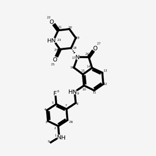 CNc1ccc(F)c(CNc2cccc3c2CN([C@H]2CCC(=O)NC2=O)C3=O)c1